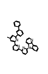 Cc1cc(-c2cccc(-c3ccccc3)c2)nc(-c2cccc(-c3cccc(-n4c5ccccc5c5ncccc54)n3)n2)c1